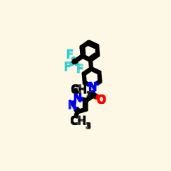 Cc1cc(C(=O)N2CCC(c3ccccc3C(F)(F)F)CC2)n(C)n1